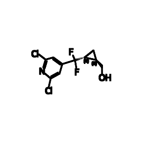 OC[C@@H]1C[C@H]1C(F)(F)c1cc(Cl)nc(Cl)c1